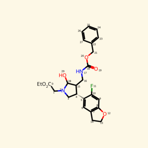 CCOC(=O)CN1C[C@@H](c2cc3c(cc2F)OCC3)C(CNC(=O)OCc2ccccc2)C1O